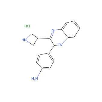 Cl.Nc1ccc(-c2nc3ccccc3nc2C2CNC2)cc1